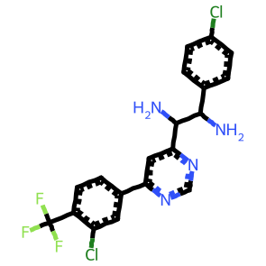 NC(c1ccc(Cl)cc1)C(N)c1cc(-c2ccc(C(F)(F)F)c(Cl)c2)ncn1